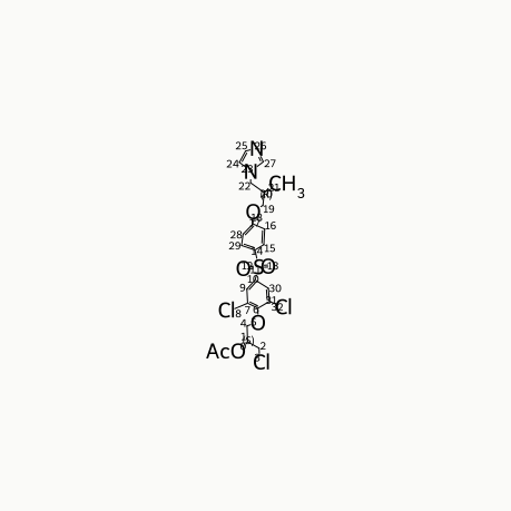 CC(=O)O[C@H](CCl)COc1c(Cl)cc(S(=O)(=O)c2ccc(OC[C@H](C)Cn3ccnc3)cc2)cc1Cl